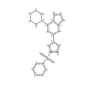 O=S(=O)(c1ccccc1)n1cc(-c2cc(C3OCCCO3)c3occc3c2)cn1